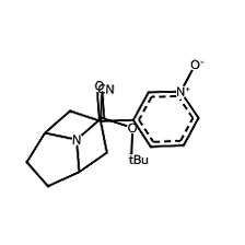 CC(C)(C)OC(=O)N1C2CCC1CC(C#N)(c1ccc[n+]([O-])c1)C2